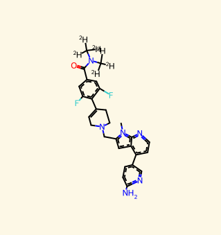 [2H]C([2H])([2H])N(C(=O)c1cc(F)c(C2=CCN(Cc3cc4c(-c5ccc(N)nc5)ccnc4n3C)CC2)c(F)c1)C([2H])([2H])[2H]